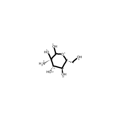 N[C@]1(O)C(O)O[C@H](CO)[C@@H](O)[C@@H]1O